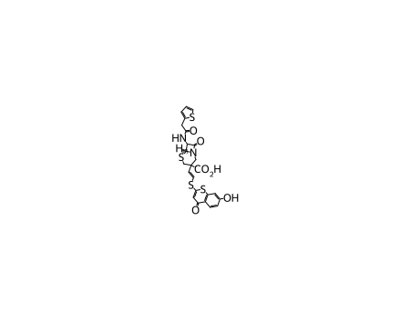 O=C(Cc1cccs1)NC1C(=O)N2CC(C=CSc3cc(=O)c4ccc(O)cc4s3)(C(=O)O)CS[C@H]12